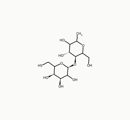 CC1OC(CO)[C@@H](O[C@@H]2OC(CS)[C@H](O)[C@H](O)C2O)[C@H](O)C1O